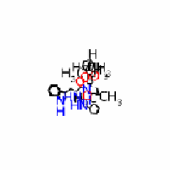 CC(C)C[C@H](NC(=O)[C@H](Cc1c[nH]c2ccccc12)NC(=O)NC1CCCC1)B1O[C@@H]2C[C@@H]3C[C@@H](C3(C)C)[C@]2(C)O1